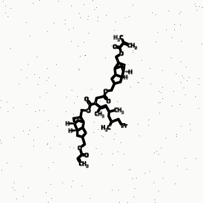 C=CC(=O)OCC1CC2C3C[C@@H](CC3COC(=O)C(CC(=O)OCC3CC4C5C[C@@H](CC5COC(=O)C(=C)C)[C@H]4C3)/C(C)=C/C(C)CC(C)CC(C)C)[C@H]2C1